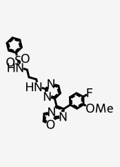 COc1cc(-c2nc3occn3c2-c2ccnc(NCCCNS(=O)(=O)c3ccccc3)n2)ccc1F